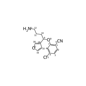 N#Cc1ccc(Cl)cc1OC(CCCN)c1ccoc1